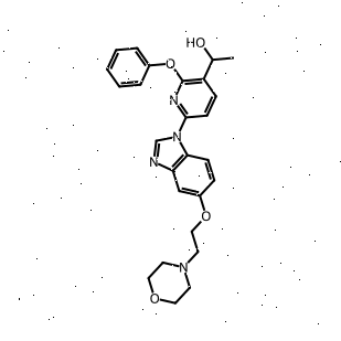 CC(O)c1ccc(-n2cnc3cc(OCCN4CCOCC4)ccc32)nc1Oc1ccccc1